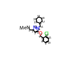 CNCc1cc(OCc2ccccc2Cl)n(CC2CCCCC2)n1